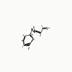 S=CC=Nc1ccccc1